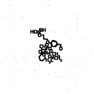 CC(OC1CCCCO1)C(NC(=O)OC(C)(C)C)C(=O)Oc1cc(C=O)ccc1OCCCON(O)O